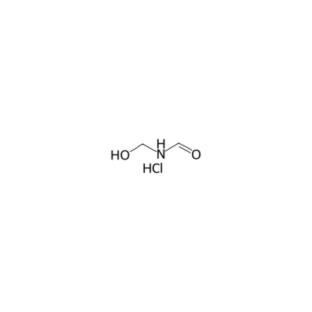 Cl.O=CNCO